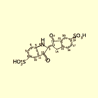 O=C1/C(=C2\Nc3ccc(S(=O)(=O)O)cc3C2=O)Cc2ccc(S(=O)(=O)O)cc21